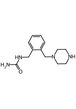 NC(=O)NCc1ccccc1CN1CCNCC1